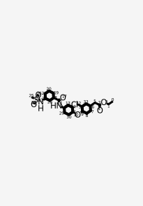 CCOC(=O)Cc1ccc(Oc2ccc(NC(=O)c3cccc(NS(C)(=O)=O)c3)cc2)c(Cl)c1